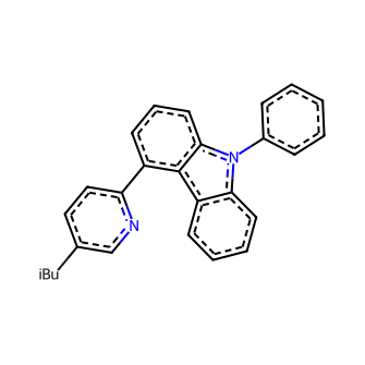 CCC(C)c1ccc(-c2cccc3c2c2ccccc2n3-c2ccccc2)nc1